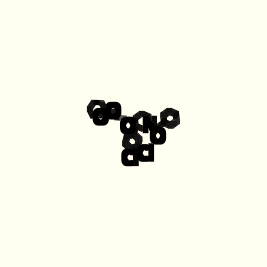 O=C(c1ccccc1)N1CCCC(OCCOC2CCCCO2)(c2ccc(Cl)c(Cl)c2)C1